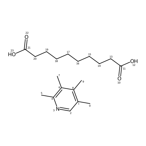 Cc1cnc(C)c(C)c1C.O=C(O)CCCCCCCCC(=O)O